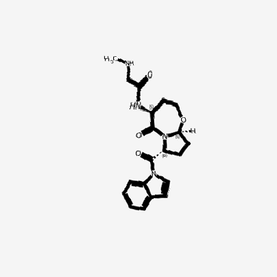 CNCC(=O)N[C@H]1CCO[C@H]2CC[C@H](C(=O)n3ccc4ccccc43)N2C1=O